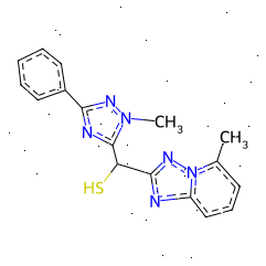 Cc1cccc2nc(C(S)c3nc(-c4ccccc4)nn3C)nn12